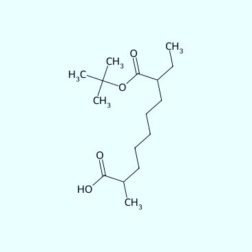 CCC(CCCCCC(C)C(=O)O)C(=O)OC(C)(C)C